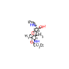 CCOC(=O)C(=O)Nc1cc(C)c(Oc2ccc(O)c(CNCC(C)C)c2)c(C)c1